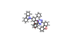 c1ccc(-c2nc(-c3ccccc3-c3cc(-n4c5ccccc5c5ccccc54)cc4c3sc3ccccc34)nc(-c3cccc4oc5ccccc5c34)n2)cc1